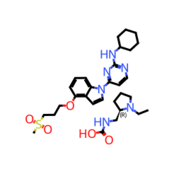 CCN1CCC[C@@H]1CNC(=O)O.CS(=O)(=O)CCCOc1cccc2c1ccn2-c1ccnc(NC2CCCCC2)n1